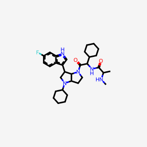 CNC(C)C(=O)NC(C(=O)N1CCC2C1C(c1c[nH]c3cc(F)ccc13)CN2C1CCCCC1)C1CCCCC1